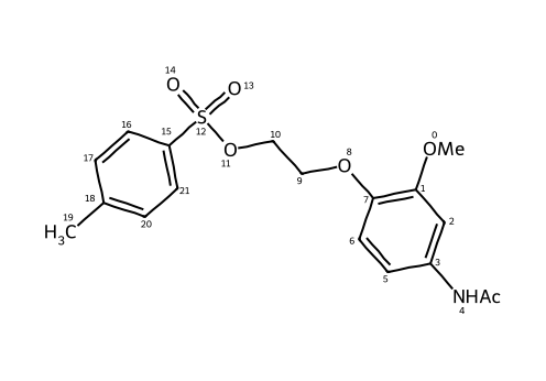 COc1cc(NC(C)=O)ccc1OCCOS(=O)(=O)c1ccc(C)cc1